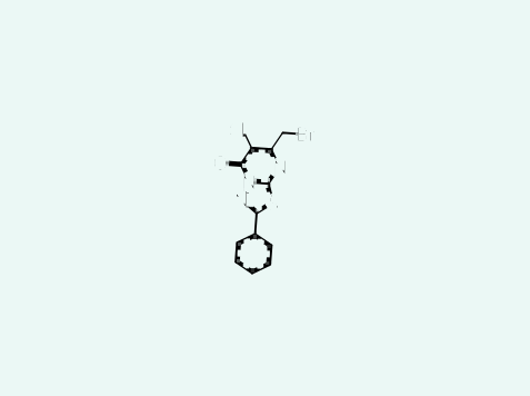 O=c1c(Cl)c(CBr)nc2sc(-c3ccccc3)nn12